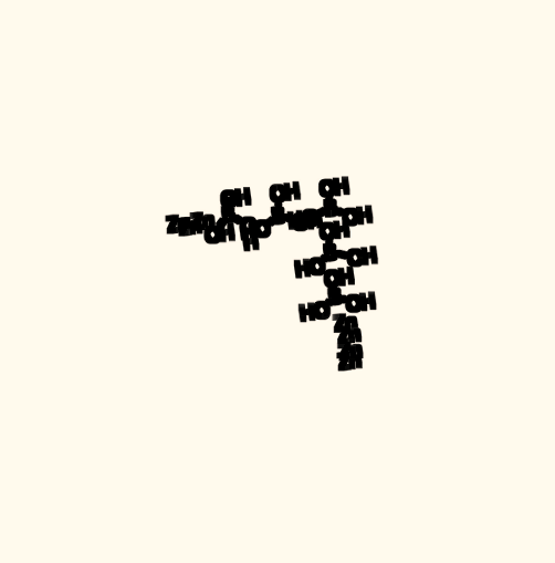 OB(O)O.OB(O)O.OB(O)O.OB(O)O.OB(O)O.[Zn].[Zn].[Zn].[Zn].[Zn].[Zn].[Zn]